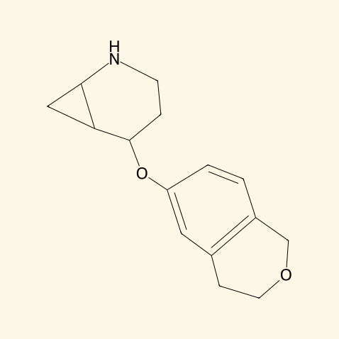 c1cc2c(cc1OC1CCNC3CC31)CCOC2